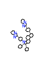 c1ccc(-c2c(-c3ccccc3)n(-c3ccc(-c4cn5ccccc5n4)cc3)c3c2ccc2c4cccc(-c5ccc(-c6cn7ccccc7n6)cc5)c4ccc23)cc1